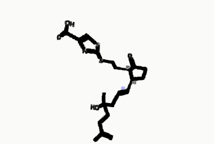 C=C(C)CCC(C)(O)C/C=C/[C@@H]1CCC(=O)[C@@H]1CCSc1nc(C(=O)O)cs1